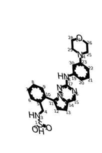 O=[SH](=O)NCc1ccccc1-c1ccc2cnc(Nc3cccc(N4CCOCC4)c3)nn12